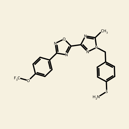 Cc1nc(-c2nc(-c3ccc(OC(F)(F)F)cc3)no2)nn1Cc1ccc(SN)cc1